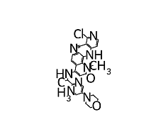 CC(Nc1cc(=O)n(C)c2c(Nc3ccnc(Cl)c3C#N)cccc12)c1ncc(N2CCOCC2)cn1